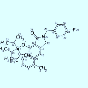 Cc1ccnc2c(O[Si](C(C)C)(C(C)C)C(C)C)c3c(cc12)CN(Cc1ccc(F)cc1)C3=O